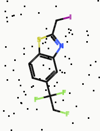 FCC(F)(F)c1ccc2sc(CI)nc2c1